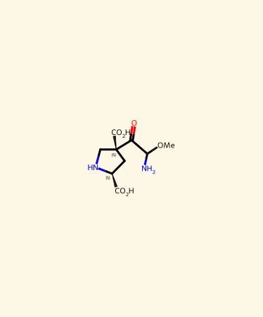 COC(N)C(=O)[C@@]1(C(=O)O)CN[C@H](C(=O)O)C1